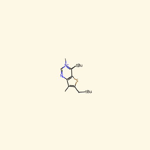 Cc1c(CC(C)(C)C)sc2c(C(C)(C)C)[n+](C)cnc12